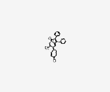 CCC1=CN2C(=O)C(c3ccccc3)=C(c3ccccc3)C2=CC1=C1C=CC(=O)C=C1